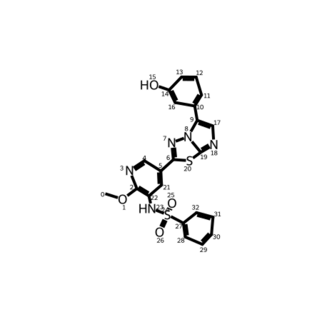 COc1ncc(-c2nn3c(-c4cccc(O)c4)cnc3s2)cc1NS(=O)(=O)c1ccccc1